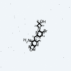 Cc1nc2nonc2c(N)c1Cc1ccc(Br)c(N2CC(C)(O)C2)n1